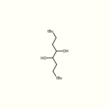 CC(C)(C)CCC(O)C(O)CCC(C)(C)C